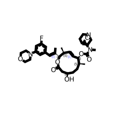 C/C(=C\c1cc(F)cc(N2CCOCC2)c1)[C@H]1OC(=O)C[C@H](O)CC[C@H](C)[C@H](OC(=O)N(C)C2CN3CCC2CC3)/C=C/[C@@H]1C